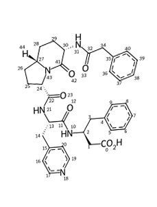 O=C(O)C[C@H](Cc1ccccc1)NC(=O)[C@H](Cc1ccncc1)NC(=O)[C@@H]1CC[C@@H]2CC[C@H](NC(=O)Cc3ccccc3)C(=O)N21